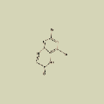 O=c1cnc2cc(Br)cc(Br)c2[nH]1